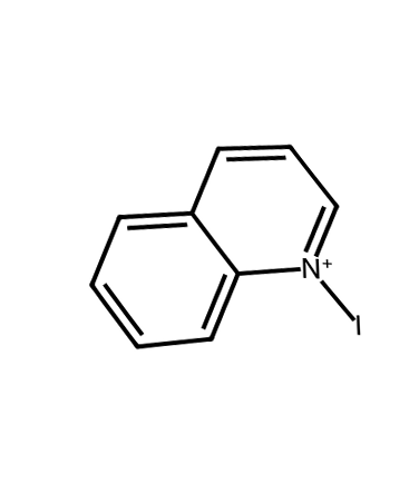 I[n+]1cccc2ccccc21